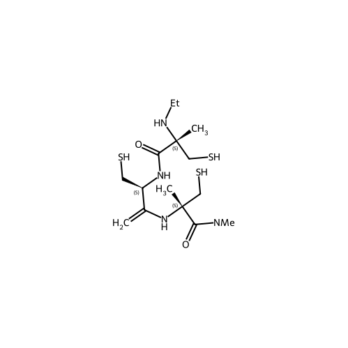 C=C(N[C@](C)(CS)C(=O)NC)[C@@H](CS)NC(=O)[C@@](C)(CS)NCC